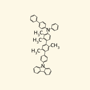 Cc1cc(-c2ccc(N(c3ccccc3)c3ccc(-c4ccccc4)cc3)c(C)c2C)c(C)cc1-c1ccc(-n2c3ccccc3c3ccccc32)cc1